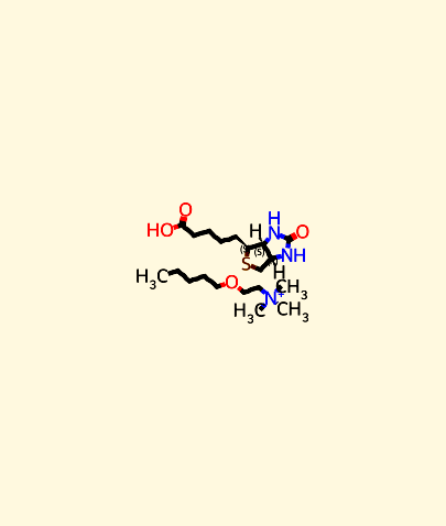 CCCCCOCC[N+](C)(C)C.O=C(O)CCCC[C@@H]1SC[C@@H]2NC(=O)N[C@@H]21